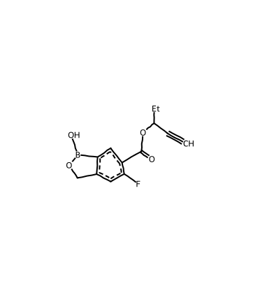 C#CC(CC)OC(=O)c1cc2c(cc1F)COB2O